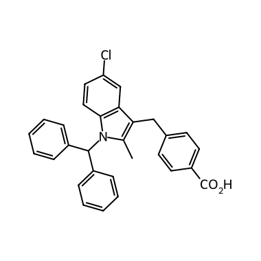 Cc1c(Cc2ccc(C(=O)O)cc2)c2cc(Cl)ccc2n1C(c1ccccc1)c1ccccc1